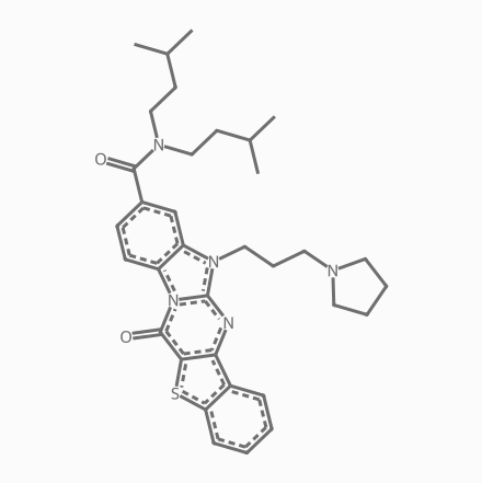 CC(C)CCN(CCC(C)C)C(=O)c1ccc2c(c1)n(CCCN1CCCC1)c1nc3c(sc4ccccc43)c(=O)n21